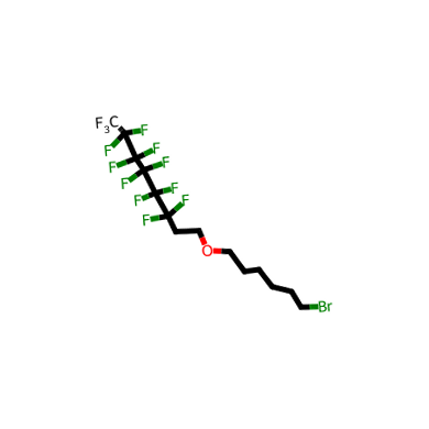 FC(F)(F)C(F)(F)C(F)(F)C(F)(F)C(F)(F)C(F)(F)CCOCCCCCCBr